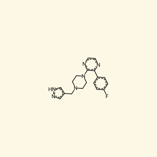 Fc1ccc(-c2nccnc2N2CCN(Cc3cn[nH]c3)CC2)cc1